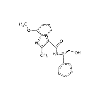 COc1cccn2c(C(=O)N[C@@H](CO)c3ccccc3)c(C)nc12